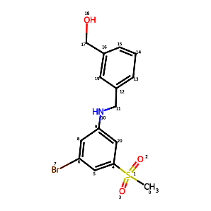 CS(=O)(=O)c1cc(Br)cc(NCc2cccc(CO)c2)c1